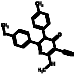 CNc1nc(-c2ccc(SC)cc2)n(-c2ccc(C)cc2)c(=O)c1C#N